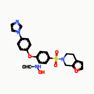 O=CNO.O=S(=O)(c1ccc(Oc2ccc(-n3ccnc3)cc2)cc1)N1CCc2ccoc2C1